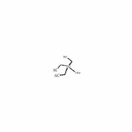 CCC[N+](CC#N)(CC#N)CC#N